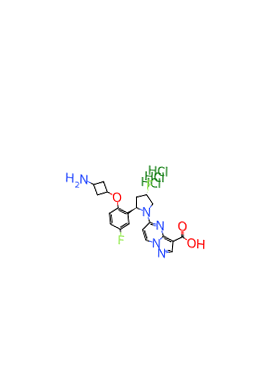 Cl.Cl.Cl.NC1CC(Oc2ccc(F)cc2[C@H]2C[C@H](F)CN2c2ccn3ncc(C(=O)O)c3n2)C1